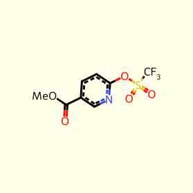 COC(=O)c1ccc(OS(=O)(=O)C(F)(F)F)nc1